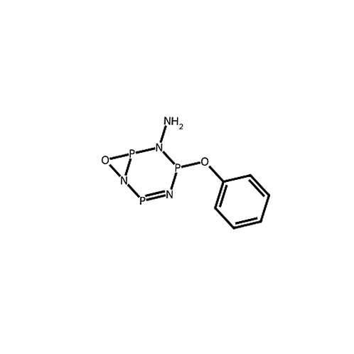 Nn1p(Oc2ccccc2)npn2op12